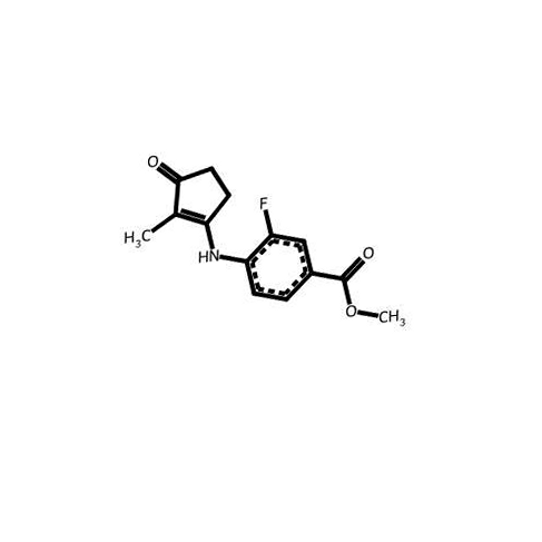 COC(=O)c1ccc(NC2=C(C)C(=O)CC2)c(F)c1